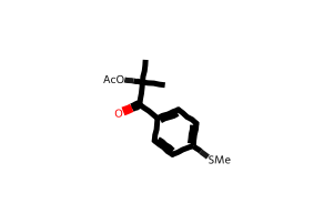 CSc1ccc(C(=O)C(C)(C)OC(C)=O)cc1